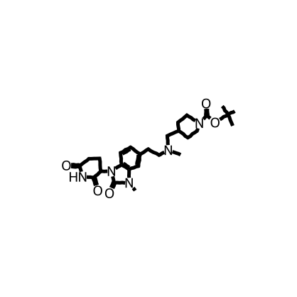 CN(CCc1ccc2c(c1)n(C)c(=O)n2C1CCC(=O)NC1=O)CC1CCN(C(=O)OC(C)(C)C)CC1